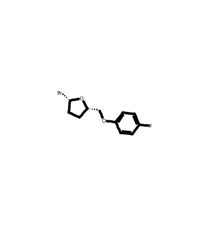 Fc1ccc(OC[C@@H]2CC[C@H](Br)O2)cc1